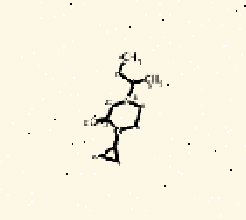 CCC(C)N1CCN(C2CC2)C(=O)C1